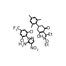 CCO/N=C(\CC)C1=C(O)CC(c2c(C)cc(C)cc2C)CC1=O.Nc1c([N+](=O)[O-])cnn1-c1c(Cl)cc(C(F)(F)F)cc1Cl